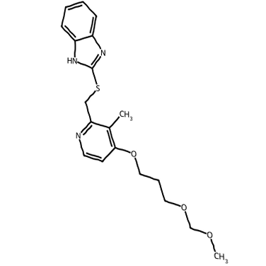 COCOCCCOc1ccnc(CSc2nc3ccccc3[nH]2)c1C